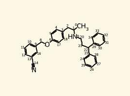 CC(Cc1ccc(OCc2cccc(C#N)c2)cc1)NCCC(c1ccccc1)c1ccccc1